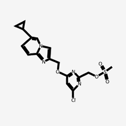 CS(=O)(=O)OCc1nc(Cl)cc(OCc2cn3cc(C4CC4)ccc3n2)n1